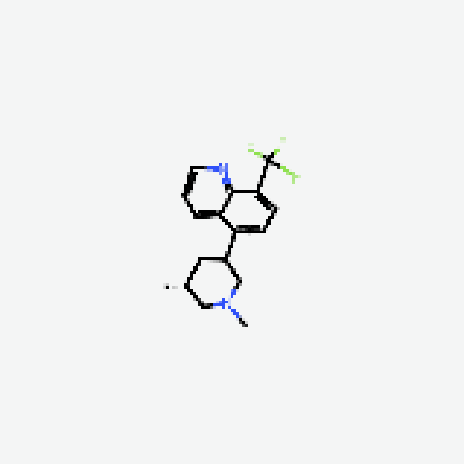 C[C@@H]1CC(c2ccc(C(F)(F)F)c3ncccc23)CN(C)C1